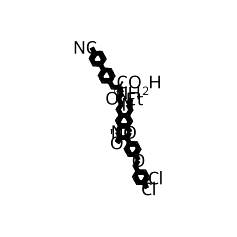 CCN1Cc2cc3c(cc2CC1C(=O)N[C@@H](Cc1ccc(-c2ccc(C#N)cc2)cc1)C(=O)O)N(C)C(=O)C(c1ccc(OCc2ccc(Cl)c(Cl)c2)cc1)O3